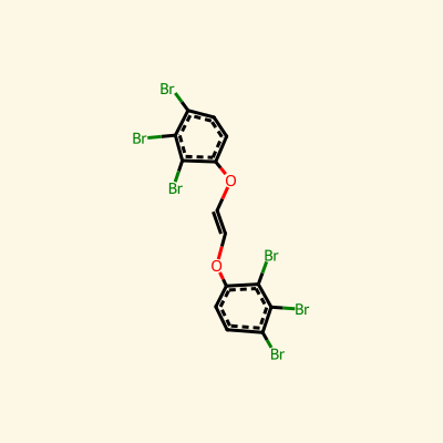 Brc1ccc(OC=COc2ccc(Br)c(Br)c2Br)c(Br)c1Br